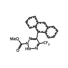 COC(=O)N1N=C(c2c3ccccc3cc3ccccc23)C(C(F)(F)F)=NN1